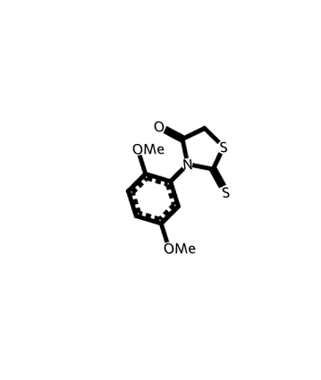 COc1ccc(OC)c(N2C(=O)CSC2=S)c1